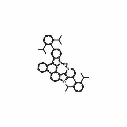 CC(C)c1cccc(C(C)C)c1-c1ccc2c(c1)c1c3ccccc3c3ccc4oc5c(-c6c(C(C)C)cccc6C(C)C)cc[n+]6[nH]n2c1c3c4c56